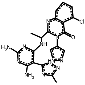 Cc1noc(-c2c(N)nc(N)nc2NC(C)c2nc3cccc(Cl)c3c(=O)n2-c2cn[nH]c2)n1